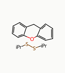 CC(C)SSC(C)C.c1ccc2c(c1)Cc1ccccc1O2